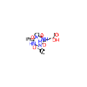 CC(C)CC1NC(=O)C(Cc2ccccc2)NC(=O)C(CCCCC(O)C2CO2)NC(=O)C2CCCCN2C1=O